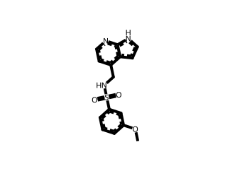 COc1cccc(S(=O)(=O)NCc2ccnc3[nH]ccc23)c1